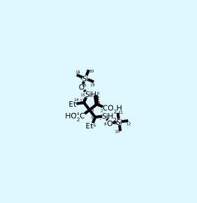 C=C(C(=O)O)C(C(=O)O)(C(CC)[SiH2]O[Si](C)(C)C)C(CC)[SiH2]O[Si](C)(C)C